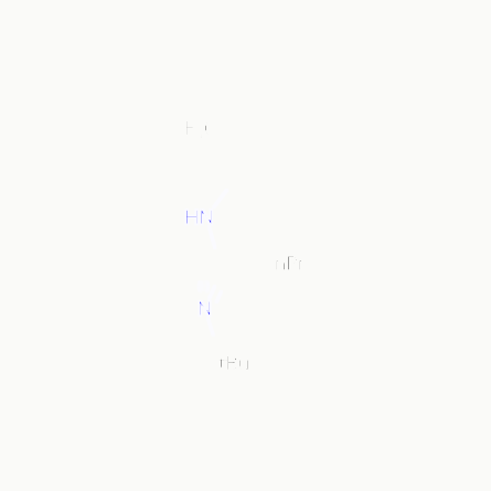 CCC/C(=N\C(C)(C)C)NCC(F)(F)F